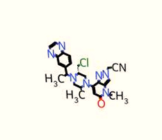 CC(c1ccc2nccnc2c1)N1C[C@H](C)N(c2cc(=O)n(C)c3cn(CC#N)nc23)C[C@H]1CCl